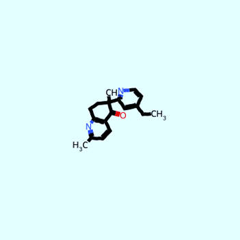 CCc1ccnc(C2(C)CCc3nc(C)ccc3C2=O)c1